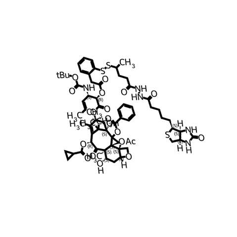 CC(=O)O[C@@]12CO[C@@H]1C[C@H](O)[C@@]1(C)C(=O)[C@H](OC(=O)C3CC3)C3=C(C)[C@@H](OC(=O)[C@H](OC(=O)Cc4ccccc4SSC(C)CCC(=O)NNC(=O)CCCC[C@@H]4SC[C@@H]5NC(=O)N[C@@H]54)[C@H](C=C(C)C)NC(=O)OC(C)(C)C)C[C@](O)(C3(C)C)C3(OC(=O)c4ccccc4)C[C@@]321